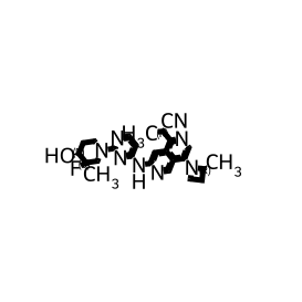 C[C@@H]1CCN1c1cnc([C@@H](C)C#N)c2cc(Nc3ccnc(N4CC[C@@H](O)[C@@](C)(F)C4)n3)ncc12